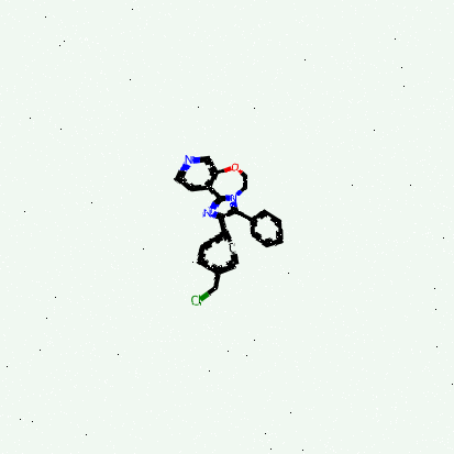 ClCc1ccc(-c2nc3n(c2-c2ccccc2)CCOc2cnccc2-3)cc1